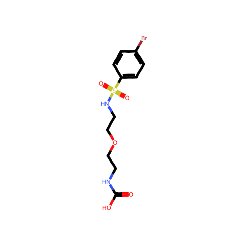 O=C(O)NCCOCCNS(=O)(=O)c1ccc(Br)cc1